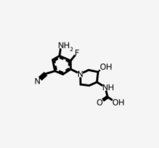 N#Cc1cc(N)c(F)c(N2CCC(NC(=O)O)[C@H](O)C2)c1